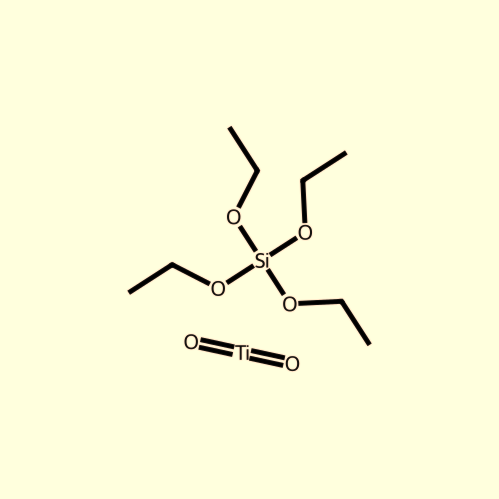 CCO[Si](OCC)(OCC)OCC.[O]=[Ti]=[O]